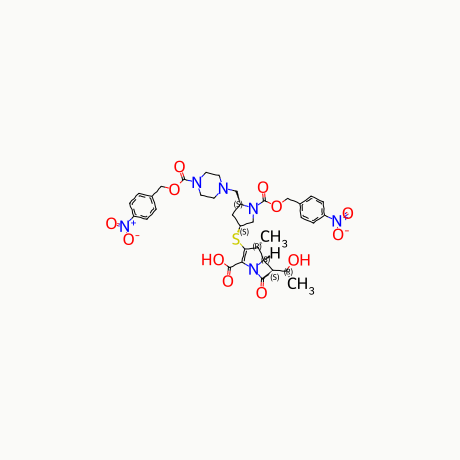 C[C@@H](O)[C@H]1C(=O)N2C(C(=O)O)=C(S[C@H]3C[C@@H](CN4CCN(C(=O)OCc5ccc([N+](=O)[O-])cc5)CC4)N(C(=O)OCc4ccc([N+](=O)[O-])cc4)C3)[C@H](C)[C@H]12